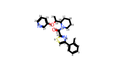 Cc1ccccc1-c1csc(C(=O)N2CCCCC2C(C)Oc2cccnc2)n1